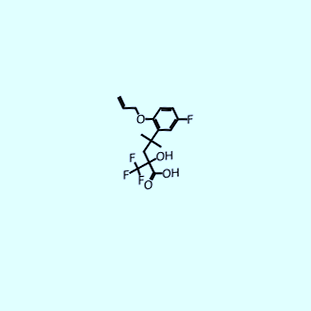 C=CCOc1ccc(F)cc1C(C)(C)CC(O)(C(=O)O)C(F)(F)F